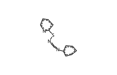 C(=NSc1ccccn1)=Nc1ccccc1